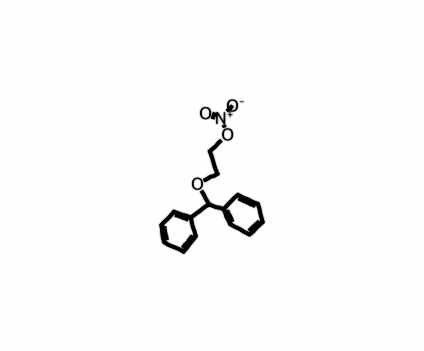 O=[N+]([O-])OCCOC(c1ccccc1)c1ccccc1